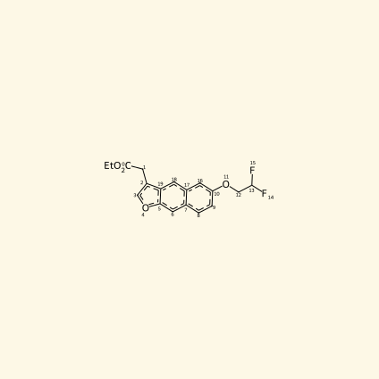 CCOC(=O)Cc1coc2cc3ccc(OCC(F)F)cc3cc12